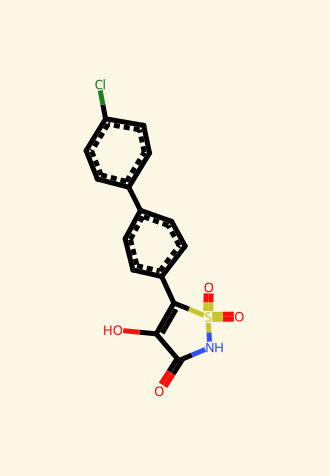 O=C1NS(=O)(=O)C(c2ccc(-c3ccc(Cl)cc3)cc2)=C1O